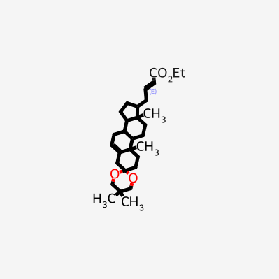 CCOC(=O)/C=C/CC1CCC2C3CC=C4CC5(CCC4(C)C3CCC12C)OCC(C)(C)CO5